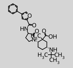 CC(C)(C)N[C@@H]1CC[C@H](N2CCC(NC(=O)c3cc(-c4ccccc4)co3)C2=O)[C@](C)(C(=O)O)C1